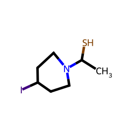 CC(S)N1CCC(I)CC1